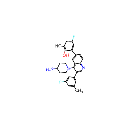 Cc1cc(F)cc(-c2cnc3ccc(-c4cc(F)cc(C#N)c4O)cc3c2N2CCC(N)CC2)c1